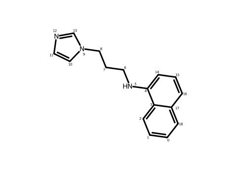 c1ccc2c(NCCCn3ccnc3)cccc2c1